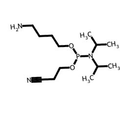 CC(C)N(C(C)C)P(OCCC#N)OCCCCN